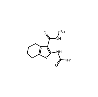 CCCCNC(=O)c1c(NC(=O)C(C)C)sc2c1CCCC2